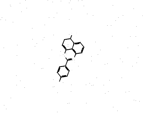 CC1CC=C2NC(c3ccc(Cl)cc3)=Nc3cccc1c32